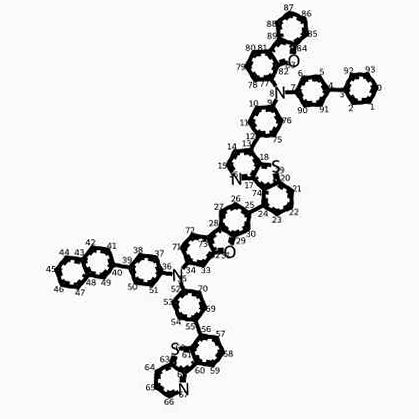 c1ccc(-c2ccc(N(c3ccc(-c4ccnc5c4sc4cccc(-c6ccc7c(c6)oc6cc(N(c8ccc(-c9ccc%10ccccc%10c9)cc8)c8ccc(-c9cccc%10c9sc9cccnc9%10)cc8)ccc67)c45)cc3)c3cccc4c3oc3ccccc34)cc2)cc1